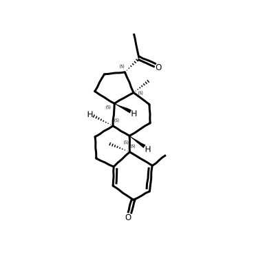 CC(=O)[C@H]1CC[C@H]2[C@@H]3CCC4=CC(=O)C=C(C)[C@]4(C)[C@H]3CC[C@]12C